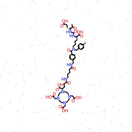 CC(=O)[C@@H](CCC(=O)O)NC(=O)N[C@H](CCCCN(Cc1ccc(I)cc1)C(=O)c1ccc(CNC(=O)CCCCNC(=O)CCC(C(=O)O)N2CCN(CC(=O)O)CCN(CC(=O)O)CCN(CC(=O)O)CC2)cc1)C(=O)O